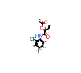 CCC(OC(C)=O)C(=O)Nc1ccc(I)cc1Cl